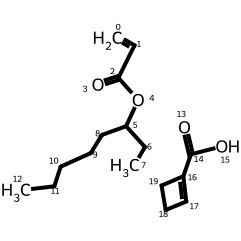 C=CC(=O)OC(CC)CCCCC.O=C(O)C1=CCC1